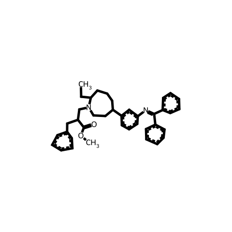 CCC1CCCC(c2cccc(N=C(c3ccccc3)c3ccccc3)c2)CCN1CC(Cc1ccccc1)C(=O)OC